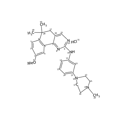 COc1ccc2c(c1)-c1nc(Nc3cccc(N4CCN(C)CC4)c3)ncc1CC2(C)C.Cl